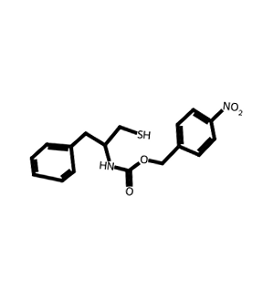 O=C(NC(CS)Cc1ccccc1)OCc1ccc([N+](=O)[O-])cc1